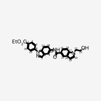 CCOC(=O)c1ccc(-n2ncc3cc(NC(=O)c4ccc5c(ccn5CCO)c4)ccc32)cc1